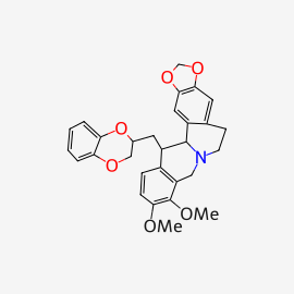 COc1ccc2c(c1OC)CN1CCc3cc4c(cc3C1C2CC1COc2ccccc2O1)OCO4